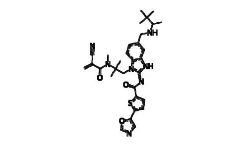 C=C(C#N)C(=O)N(C)C(C)(C)Cn1c(=NC(=O)c2ccc(-c3cnco3)s2)[nH]c2cc(CNC(C)C(C)(C)C)ccc21